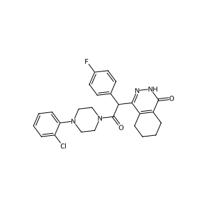 O=C(C(c1ccc(F)cc1)c1n[nH]c(=O)c2c1CCCC2)N1CCN(c2ccccc2Cl)CC1